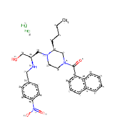 CCCC[C@H]1CN(C(=O)c2cccc3ccccc23)CCN1C[C@H](CO)NCc1ccc([N+](=O)[O-])cc1.Cl.Cl